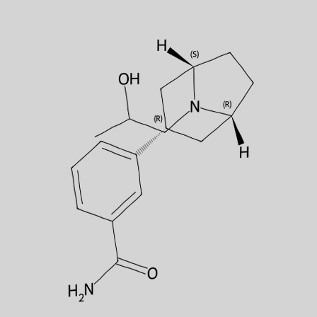 CC(O)CN1[C@@H]2CC[C@H]1C[C@@H](c1cccc(C(N)=O)c1)C2